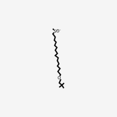 C[S+]([O-])CCCCCCCCCCCCCCCCOCCC(C)(C)C